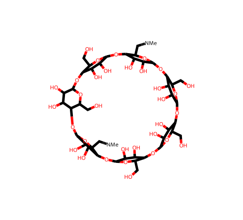 CNCC1OC2OC3C(CO)OC(OC4C(CO)OC(OC5C(CNC)OC(OC6C(CO)OC(OC7C(CO)OC(OC8C(CO)OC(OC1C(O)C2O)C(O)C8O)C(O)C7O)C(O)C6O)C(O)C5O)C(O)C4O)C(O)C3O